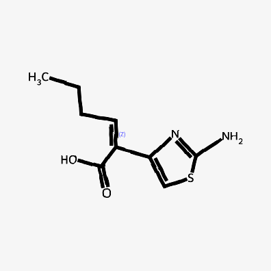 CCC/C=C(\C(=O)O)c1csc(N)n1